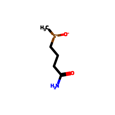 C[S+]([O-])CCCC(N)=O